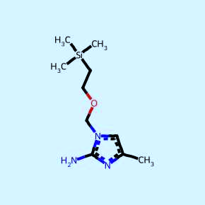 Cc1cn(COCC[Si](C)(C)C)c(N)n1